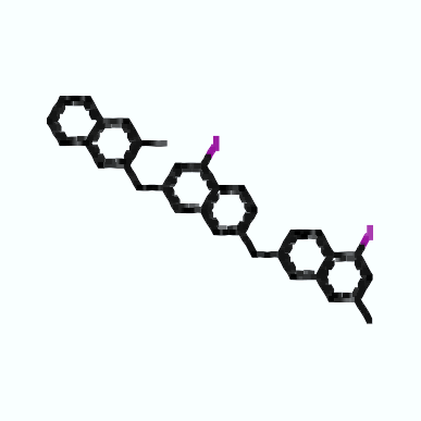 Cc1cc(I)c2ccc(Cc3ccc4c(I)cc(Cc5cc6ccccc6cc5C)cc4c3)cc2c1